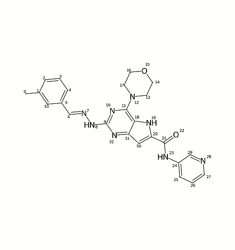 Cc1cccc(/C=N/Nc2nc(N3CCOCC3)c3[nH]c(C(=O)Nc4cccnc4)cc3n2)c1